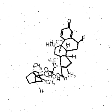 C[C@@H]1C[C@H]2[C@@H]3C[C@H](F)C4=CC(=O)C=C[C@]4(C)C3(F)[C@@H](O)C[C@]2(C)[C@]1(OC(=O)O[C@@H]1C[C@H]2CC[C@]1(C)C2(C)C)C(=O)O